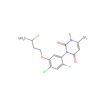 Cn1c(C(F)(F)F)cc(=O)n(-c2cc(OCCC(Cl)C(=O)O)c(Cl)cc2F)c1=O